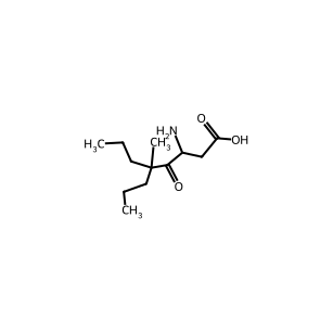 CCCC(C)(CCC)C(=O)C(N)CC(=O)O